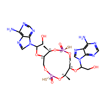 C[C@H]1O[P@@](=O)(S)OC[C@@H](OC(CO)n2cnc3c(N)ncnc32)[C@@H](C)O[P@](=O)(S)OC[C@H]1OC(CO)n1cnc2c(N)ncnc21